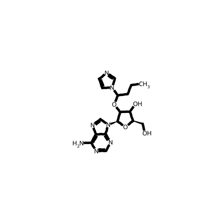 CCCC(OC1C(O)[C@@H](CO)O[C@H]1n1cnc2c(N)ncnc21)n1ccnc1